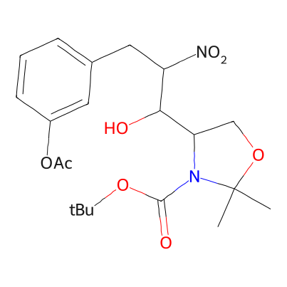 CC(=O)Oc1cccc(CC(C(O)C2COC(C)(C)N2C(=O)OC(C)(C)C)[N+](=O)[O-])c1